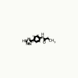 CCC(=O)Nc1ccc(-c2nn[nH]n2)cc1